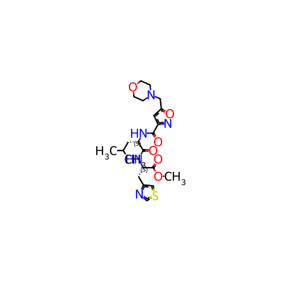 COC(=O)[C@H](Cc1cscn1)NC(=O)[C@H](CC(C)C)NC(=O)c1cc(CN2CCOCC2)on1